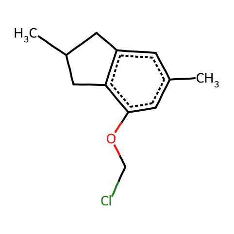 Cc1cc2c(c(OCCl)c1)CC(C)C2